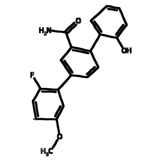 COc1[c]cc(F)c(-c2ccc(-c3ccccc3O)c(C(N)=O)c2)c1